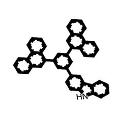 c1ccc2c(c1)cc(-c1cc(-c3ccc4[nH]c5ccccc5c4c3)cc(-c3cc4ccccc4c4ccccc34)c1)c1ccccc12